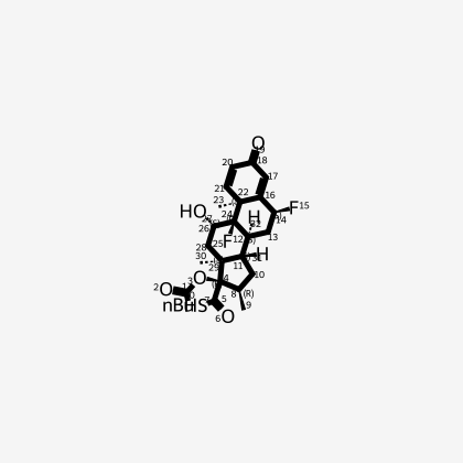 CCCCC(=O)O[C@]1(C(=O)S)[C@H](C)C[C@H]2[C@@H]3C[C@H](F)C4=CC(=O)C=C[C@]4(C)[C@@]3(F)[C@@H](O)C[C@@]21C